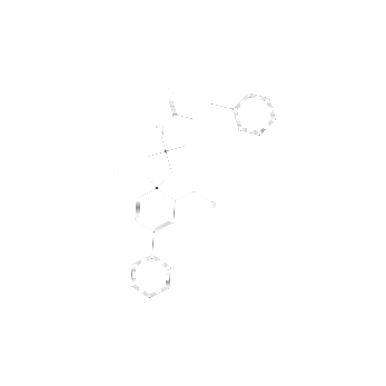 CC(C)CC1C=C(c2ccccc2)C=CC1(CC(C)(C)NC(=O)OCc1ccccc1)C(=O)O